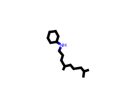 CC(C)CCCC(C)CCCNC1CCCCC1